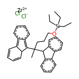 CC[Si](CC)(CC)OCCCC(C)(C1=c2ccccc2=C2C=CC=CC21)C1c2ccccc2-c2ccccc21.[Cl-].[Cl-].[Zr+2]